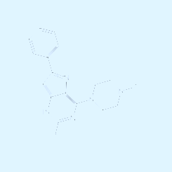 CC(=O)N1CCN(c2nc(C)[nH]c3cc(-c4ccccc4)nc2-3)CC1.Cl